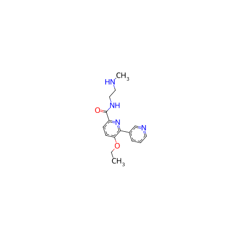 CCOc1ccc(C(=O)NCCNC)nc1-c1cccnc1